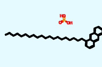 CCCCCCCCCCCCCCCCCCCCc1cccc2cc3ccccc3cc12.O=[PH](O)O